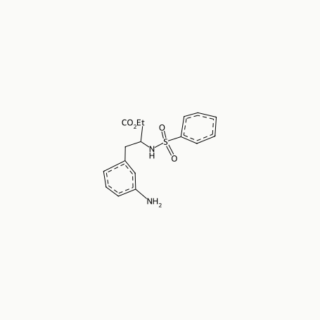 CCOC(=O)C(Cc1cccc(N)c1)NS(=O)(=O)c1ccccc1